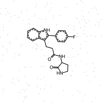 O=C(CCc1c(-c2ccc(F)cc2)[nH]c2ccccc12)NC1CCNC1=O